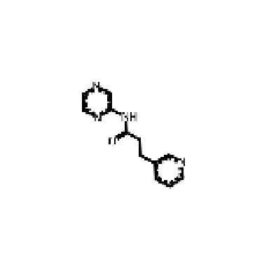 O=C(CCc1cccnc1)Nc1cnccn1